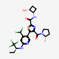 CC[C@H](Nc1cc(C(F)F)c(-c2sc(C(=O)N[C@H]3CC[C@H]3O)nc2C(=O)N2CCC[C@@H]2C)cn1)C(F)(F)F